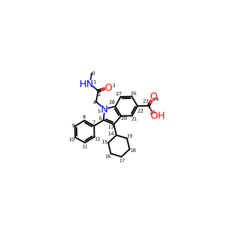 CNC(=O)Cn1c(-c2ccccc2)c(C2CCCCC2)c2cc(C(=O)O)ccc21